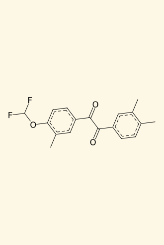 Cc1ccc(C(=O)C(=O)c2ccc(OC(F)F)c(C)c2)cc1C